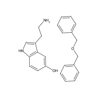 NCCc1c[nH]c2ccc(O)cc12.c1ccc(COCc2ccccc2)cc1